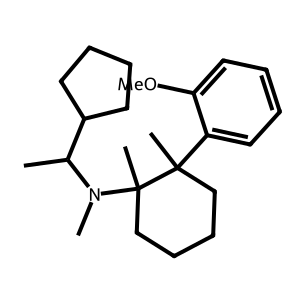 COc1ccccc1C1(C)CCCCC1(C)N(C)C(C)C1CCCC1